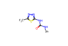 CC(C)NC(=O)Nc1nnc(C(F)(F)F)s1